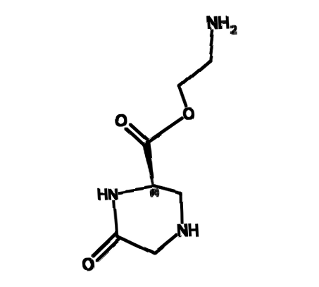 NCCOC(=O)[C@H]1CNCC(=O)N1